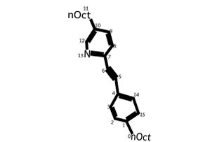 CCCCCCCCc1ccc(C#Cc2ccc(CCCCCCCC)cn2)cc1